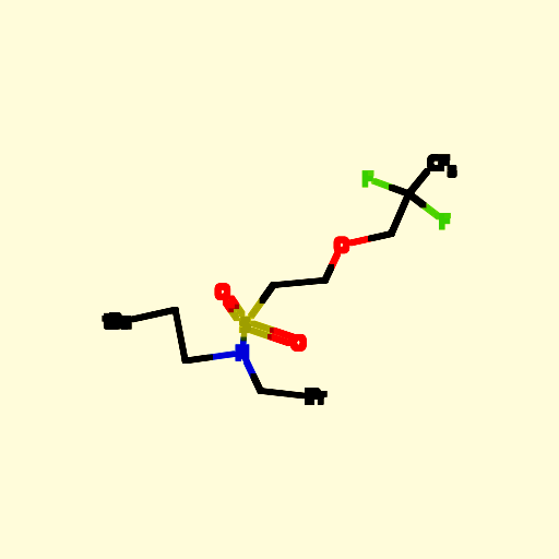 CC(C)CN(CCC(C)(C)C)S(=O)(=O)CCOCC(F)(F)C(F)(F)F